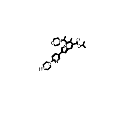 Cc1c(C(=O)OC(C)C)cc2cc(-c3ccc(N4CCNCC4)nc3)cn2c1C(C)N1CCOCC1